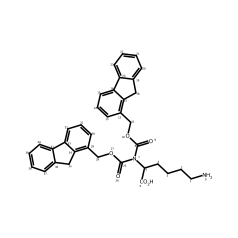 NCCCCC(C(=O)O)N(C(=O)OCc1cccc2c1Cc1ccccc1-2)C(=O)OCc1cccc2c1Cc1ccccc1-2